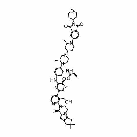 C=CC(=O)Nc1cc(Nc2nc(-c3ccnc(N4CCn5c(cc6c5CC(C)(C)C6)C4=O)c3CO)cn(C)c2=O)ccc1N1CCN(C2CCN(c3ccc4c(c3)C(=O)N(C3CCOCC3)C4=O)[C@H](C)C2)C[C@@H]1C